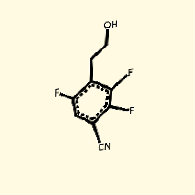 N#Cc1cc(F)c(CCO)c(F)c1F